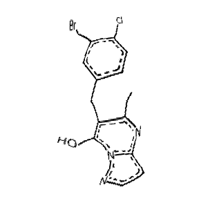 Cc1nc2ccnn2c(O)c1Cc1ccc(Cl)c(Br)c1